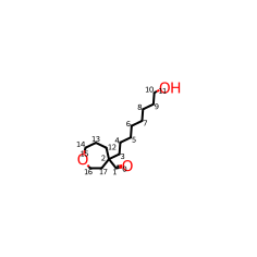 O=CC1(CCCCCCCCO)CCCOCC1